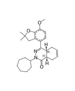 COc1ccc(C2=NN(C3CCCCCC3)C(=O)[C@H]3CC=CC[C@@H]23)c2c1OC(C)(C)C2